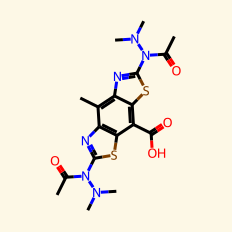 CC(=O)N(c1nc2c(C)c3nc(N(C(C)=O)N(C)C)sc3c(C(=O)O)c2s1)N(C)C